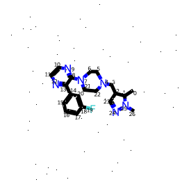 CC1C(CN2CCN(c3nccnc3-c3cccc(F)c3)CC2)C=NN1C